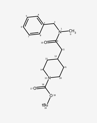 CN(Cc1ccccc1)C(=O)CC1CCN(C(=O)OC(C)(C)C)CC1